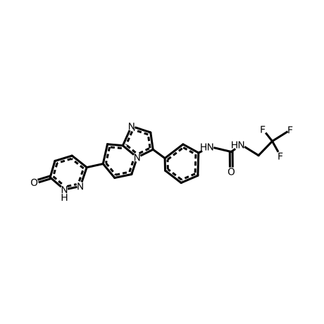 O=C(NCC(F)(F)F)Nc1cccc(-c2cnc3cc(-c4ccc(=O)[nH]n4)ccn23)c1